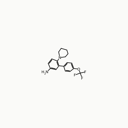 Nc1ccc(N2CCCCC2)c(-c2ccc(OC(F)(F)F)cc2)c1